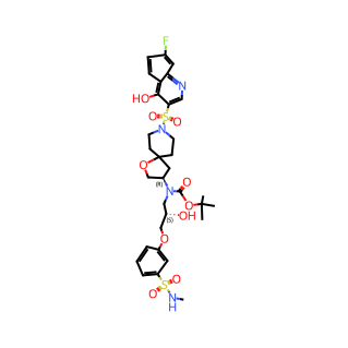 CNS(=O)(=O)c1cccc(OC[C@@H](O)CN(C(=O)OC(C)(C)C)[C@H]2COC3(CCN(S(=O)(=O)c4cnc5cc(F)ccc5c4O)CC3)C2)c1